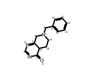 O=C1N=CN=C2CN(Cc3ccccc3)CCC12